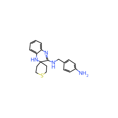 Nc1ccc(CNC2=Nc3ccccc3NC23CCSCC3)cc1